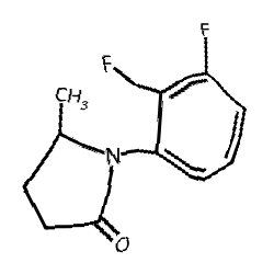 CC1CCC(=O)N1c1cccc(F)c1F